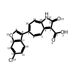 O=C(O)c1c2ccc(-c3coc4cc(Cl)ccc34)ccc-2[nH]c1=O